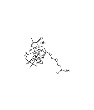 CC(=O)O[C@@]12C[C@@H](C)[C@@]3(O)[C@@H](C=C(OCOCCC(=O)O)C[C@]4(O)C(=O)C(C)=C[C@@H]34)[C@@H]1C2(C)C